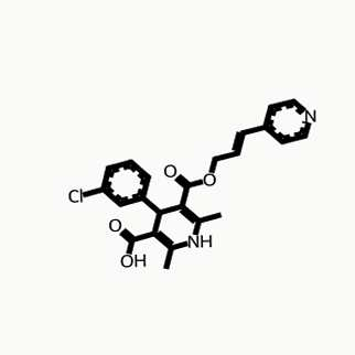 CC1=C(C(=O)O)C(c2cccc(Cl)c2)C(C(=O)OCC=Cc2ccncc2)=C(C)N1